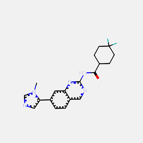 Cn1cncc1-c1ccc2cnc(NC(=O)C3CCC(F)(F)CC3)nc2c1